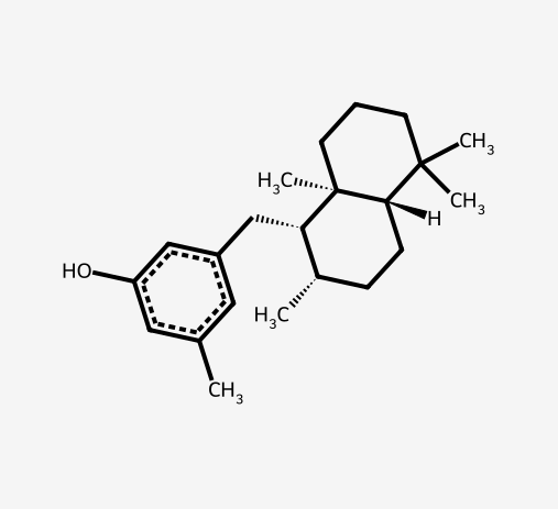 Cc1cc(O)cc(C[C@H]2[C@@H](C)CC[C@H]3C(C)(C)CCC[C@]23C)c1